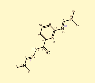 CN(C)/C=N/NC(=O)c1cccc(/N=C/N(C)C)n1